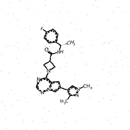 Cc1nn(C)cc1-c1cc2c(N3CC(C(=O)N[C@@H](C)c4ccc(F)cc4)C3)ncnn2c1